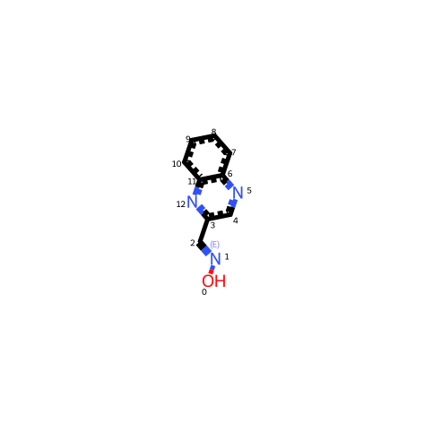 O/N=C/c1cnc2ccccc2n1